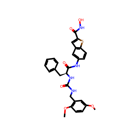 COc1ccc(OC)c(CNC(=O)N[C@@H](Cc2ccccc2)C(=O)Nc2ccc3sc(C(=O)NO)cc3c2)c1